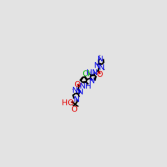 Cc1c(NC(=O)c2nc3c(n2C)CCN(CC2(CO)COC2)C3)cccc1-c1nccc(NC(=O)c2nc3c(n2C)CCN(C)C3)c1Cl